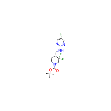 CC(C)(C)OC(=O)N1CC[C@H](CNc2ncc(F)cn2)C(F)(F)C1